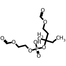 CCC(C)(CCOC=O)OP(=O)(O)OCCOC=O